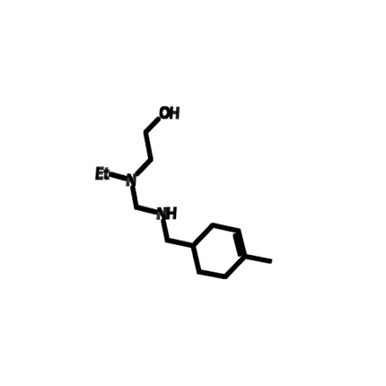 CCN(CCO)CNCC1CC=C(C)CC1